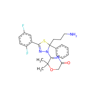 CC1(C)OCC(=O)N=C1N1N=C(c2cc(F)ccc2F)SC1(CCCN)c1ccccc1